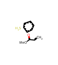 C=CC(=O)OC.S.c1ccccc1